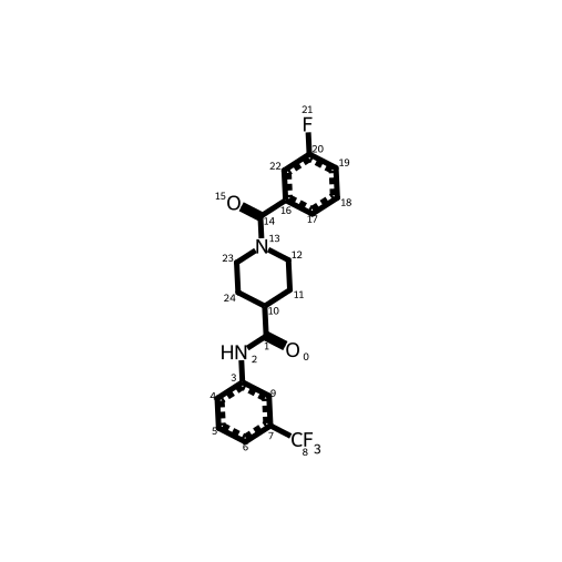 O=C(Nc1cccc(C(F)(F)F)c1)C1CCN(C(=O)c2cccc(F)c2)CC1